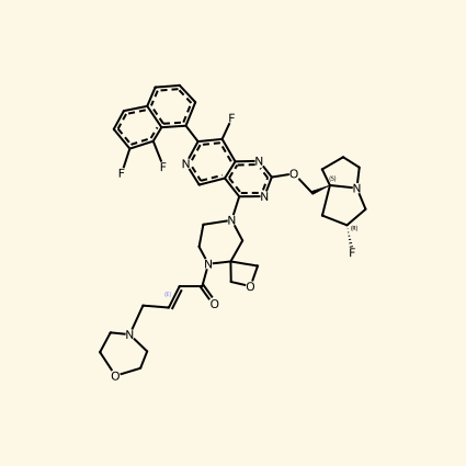 O=C(/C=C/CN1CCOCC1)N1CCN(c2nc(OC[C@@]34CCCN3C[C@H](F)C4)nc3c(F)c(-c4cccc5ccc(F)c(F)c45)ncc23)CC12COC2